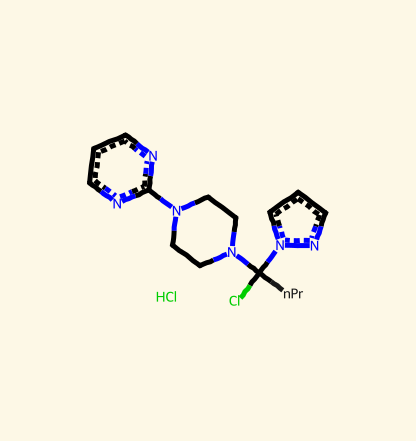 Cl.[CH2]CCC(Cl)(N1CCN(c2ncccn2)CC1)n1cccn1